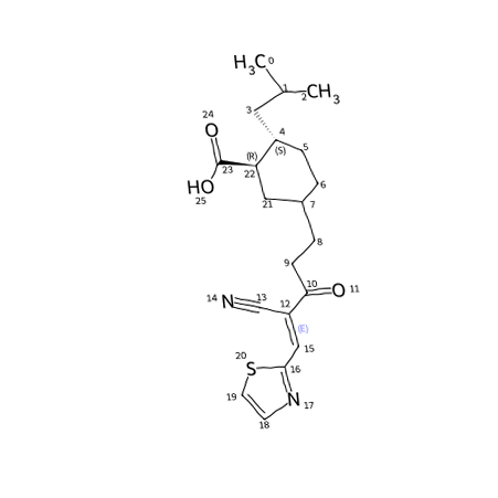 CC(C)C[C@@H]1CCC(CCC(=O)/C(C#N)=C/c2nccs2)C[C@H]1C(=O)O